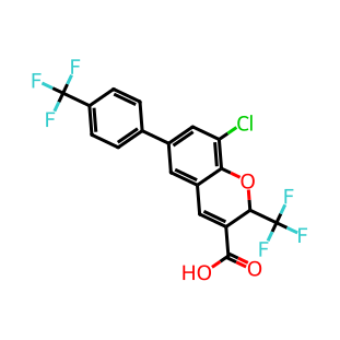 O=C(O)C1=Cc2cc(-c3ccc(C(F)(F)F)cc3)cc(Cl)c2OC1C(F)(F)F